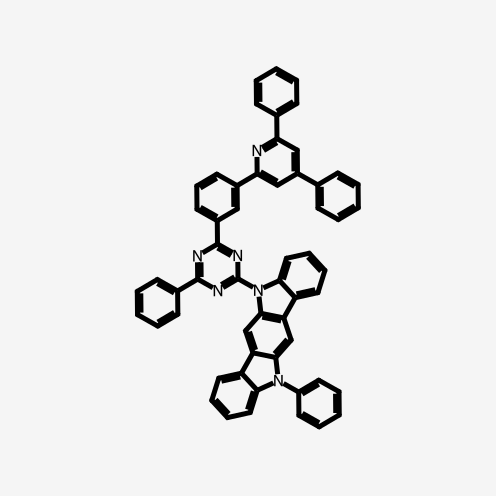 c1ccc(-c2cc(-c3ccccc3)nc(-c3cccc(-c4nc(-c5ccccc5)nc(-n5c6ccccc6c6cc7c(cc65)c5ccccc5n7-c5ccccc5)n4)c3)c2)cc1